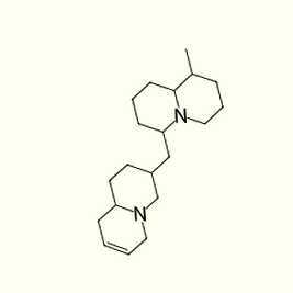 CC1CCCN2C(CC3CCC4CC=CCN4C3)CCCC12